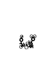 COc1ccc(C(C)N2C[C@H](C(C)Oc3nc(-c4ccc(OC)c(OC)c4)cn4ncc(Cl)c34)CC2=O)cc1